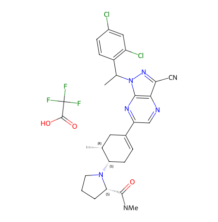 CNC(=O)[C@@H]1CCCN1[C@H]1CC=C(c2cnc3c(C#N)nn(C(C)c4ccc(Cl)cc4Cl)c3n2)C[C@H]1C.O=C(O)C(F)(F)F